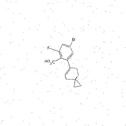 O=C(O)c1c(F)cc(Br)cc1C1=CCC2(CC1)CC2